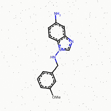 COc1cccc(CNn2cnc3cc(N)ccc32)c1